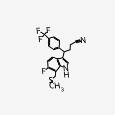 CSCc1c(F)ccc2c(C(CCC#N)c3ccc(C(F)(F)F)cc3)c[nH]c12